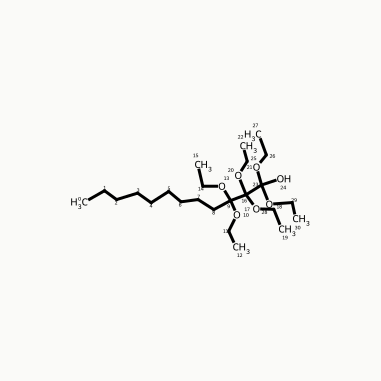 CCCCCCCCCC(OCC)(OCC)C(OCC)(OCC)C(O)(OCC)OCC